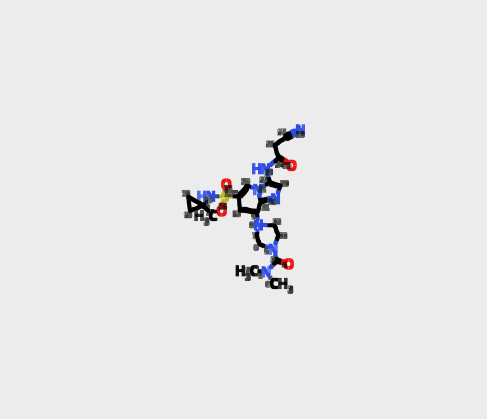 CN(C)C(=O)N1CCN(c2cc(S(=O)(=O)NC3(C)CC3)cn3c(NC(=O)CC#N)cnc23)CC1